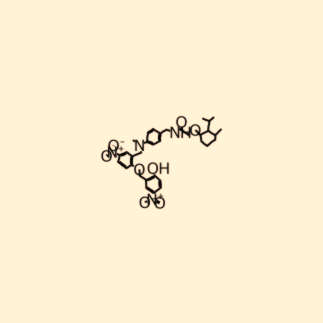 CC(C)C1C(C)CCCC1OCC(=O)NCc1ccc(N(C)Cc2cc([N+](=O)[O-])ccc2OCc2cc([N+](=O)[O-])ccc2O)cc1